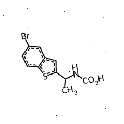 CC(NC(=O)O)c1cc2cc(Br)ccc2s1